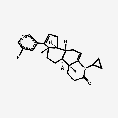 C[C@]12CCC(=O)N(C3CC3)C1=CC[C@@H]1[C@@H]2CC[C@]2(C)C(c3cncc(F)c3)=CC[C@@H]12